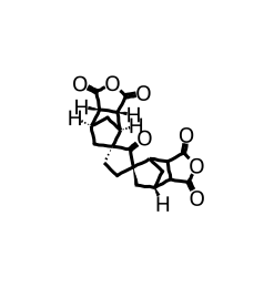 O=C1OC(=O)C2C1C1C[C@H]2C[C@]12CC[C@@]1(C[C@@H]3C[C@H]1[C@H]1C(=O)OC(=O)[C@@H]31)C2=O